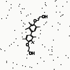 Cc1cc(-c2cc(C)c(OCCO)c(C)c2C)c(C)c(C)c1OCCO